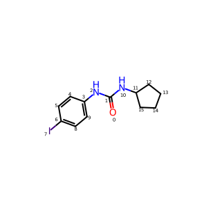 O=C(Nc1ccc(I)cc1)NC1CCCC1